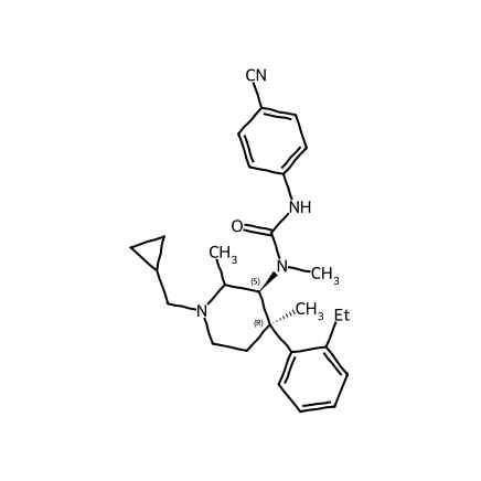 CCc1ccccc1[C@@]1(C)CCN(CC2CC2)C(C)[C@H]1N(C)C(=O)Nc1ccc(C#N)cc1